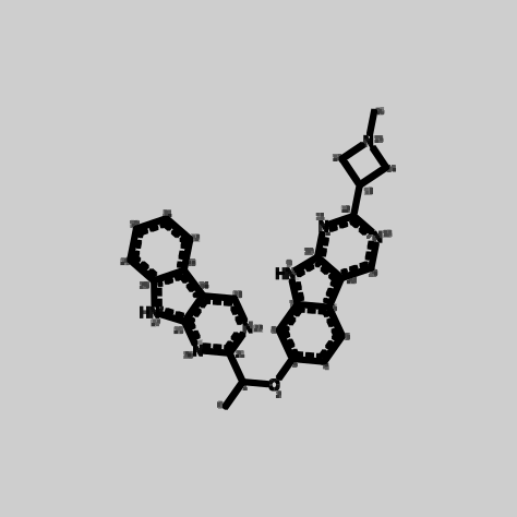 CC(Oc1ccc2c(c1)[nH]c1nc(C3CN(C)C3)ncc12)c1ncc2c(n1)[nH]c1ccccc12